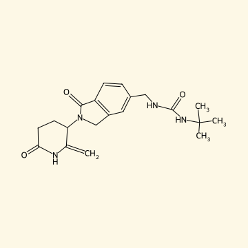 C=C1NC(=O)CCC1N1Cc2cc(CNC(=O)NC(C)(C)C)ccc2C1=O